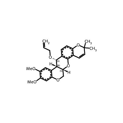 C=CCO[C@@H]1c2ccc3c(c2O[C@@H]2COc4cc(OC)c(OC)cc4[C@H]12)C=CC(C)(C)O3